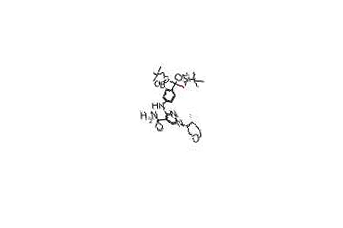 C[C@@H]1CCOC[C@H]1n1cc(C(N)=O)c(Nc2ccc(C(C)(C)O[Si](C)(C)C(C)(C)C)c(B3OCC(C)(C)CO3)c2)n1